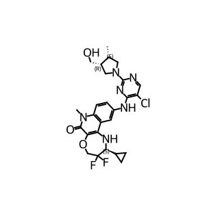 C[C@@H]1CN(c2ncc(Cl)c(Nc3ccc4c(c3)c3c(c(=O)n4C)OCC(F)(F)[C@H](C4CC4)N3)n2)C[C@@H]1CO